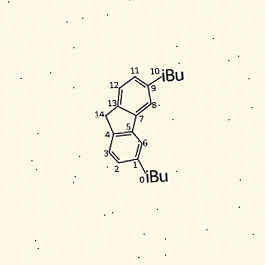 CCC(C)c1ccc2c(c1)-c1cc(C(C)CC)ccc1C2